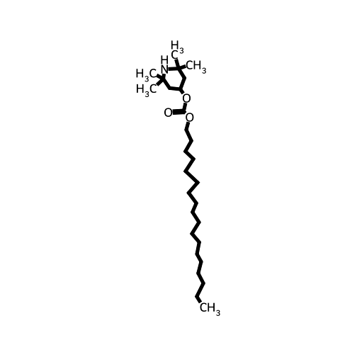 CCCCCCCCCCCCCCCCCCOC(=O)OC1CC(C)(C)NC(C)(C)C1